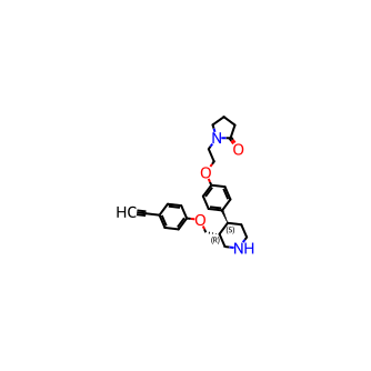 C#Cc1ccc(OC[C@H]2CNCC[C@@H]2c2ccc(OCCN3CCCC3=O)cc2)cc1